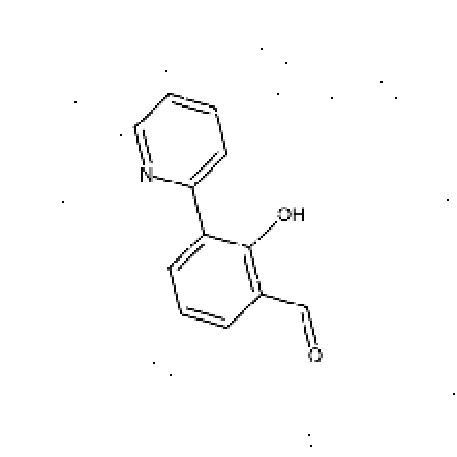 O=Cc1cccc(-c2ccccn2)c1O